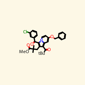 COC(=O)C(C)(C)Cc1c(C(=O)C(C)(C)C)c2cc(OCc3ccccc3)ccn2c1C(=O)c1cccc(Cl)c1